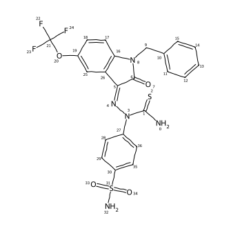 NC(=S)N(/N=C1\C(=O)N(Cc2ccccc2)c2ccc(OC(F)(F)F)cc21)c1ccc(S(N)(=O)=O)cc1